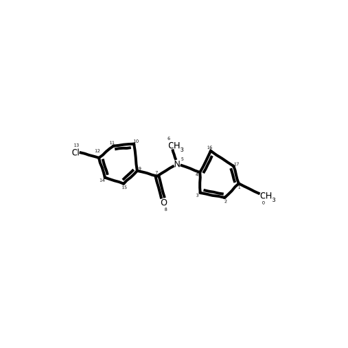 Cc1ccc(N(C)C(=O)c2ccc(Cl)cc2)cc1